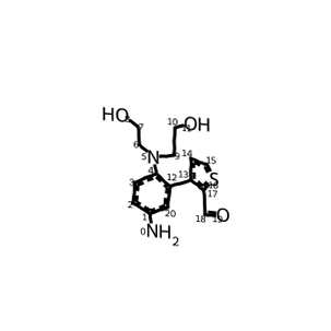 Nc1ccc(N(CCO)CCO)c(-c2ccsc2C=O)c1